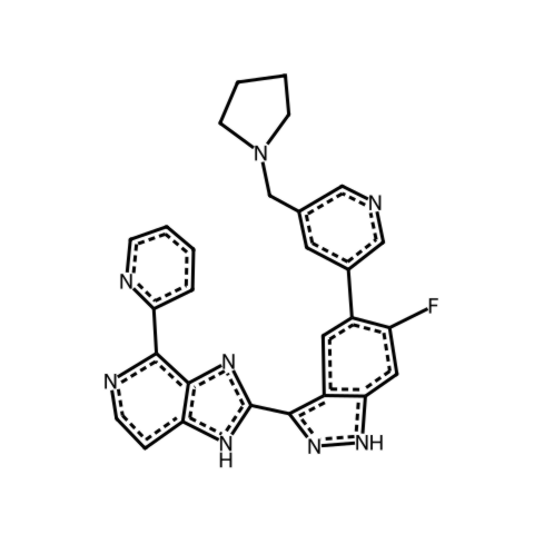 Fc1cc2[nH]nc(-c3nc4c(-c5ccccn5)nccc4[nH]3)c2cc1-c1cncc(CN2CCCC2)c1